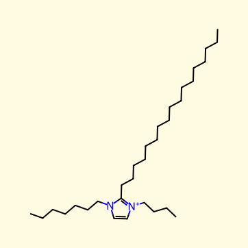 CCCCCCCCCCCCCCCCCc1n(CCCCCCC)cc[n+]1CCCC